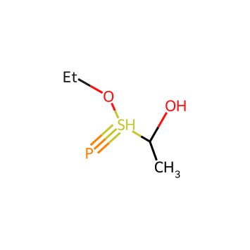 CCO[SH](#P)C(C)O